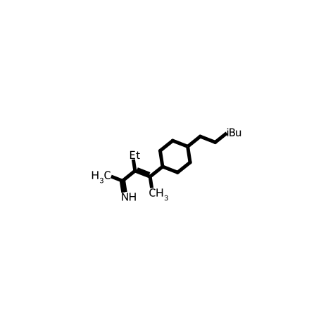 CC/C(C(C)=N)=C(/C)C1CCC(CCC(C)CC)CC1